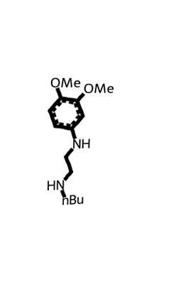 CCCCNCCNc1ccc(OC)c(OC)c1